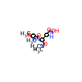 CCN(CC)C(=O)c1cc(NC(=O)c2ccc(OC)cc2C)cc(-c2ccc(C(=O)NO)cc2)c1